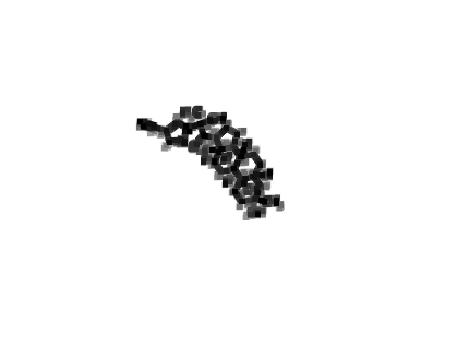 C[C@@]1(O)CC[C@@]2(C)[C@H](CC[C@@H]3[C@@H]2CC[C@]2(C)[C@@H](C(=O)[C@](C)(O)n4cc(C#N)cn4)CC[C@@H]32)C1